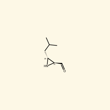 CC(C)C[C@H]1N[C@@H]1C=O